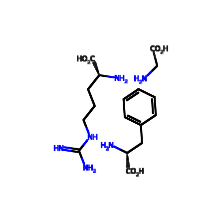 N=C(N)NCCC[C@H](N)C(=O)O.NCC(=O)O.N[C@@H](Cc1ccccc1)C(=O)O